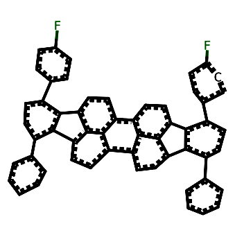 Fc1ccc(-c2ccc(-c3ccccc3)c3c2-c2ccc4c5ccc6c7c(ccc(c8ccc-3c2c84)c75)-c2c(-c3ccccc3)ccc(-c3ccc(F)cc3)c2-6)cc1